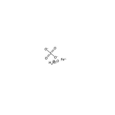 O.O=S(=O)([O-])[O-].[Fe+].[NH4+]